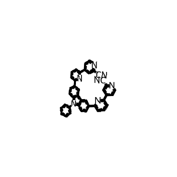 N#Cc1cc(-c2cccc(-c3ccc4c(c3)c3cc(-c5cccc(-c6ccnc(C#N)c6)n5)ccc3n4-c3ccccc3)n2)ccn1